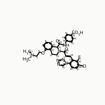 CN(C)CCOc1cccc2c1CCN(C(=O)C=Cc1c(-n3cnnn3)ccc(Cl)c1F)C2C(=O)Nc1ccc(C(=O)O)cc1